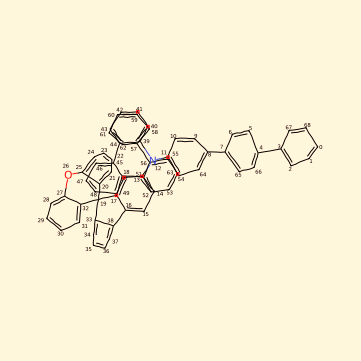 c1ccc(-c2ccc(-c3ccc(N(c4ccc5c(c4)C4(c6ccccc6Oc6ccccc64)c4ccccc4-5)c4ccccc4-c4ccccc4-c4ccccc4-c4ccccc4)cc3)cc2)cc1